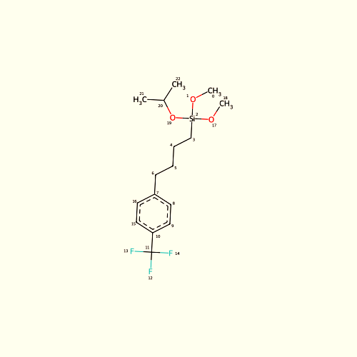 CO[Si](CCCCc1ccc(C(F)(F)F)cc1)(OC)OC(C)C